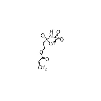 C=CC(=O)OCCS(=O)(=O)NS(=O)(=O)F